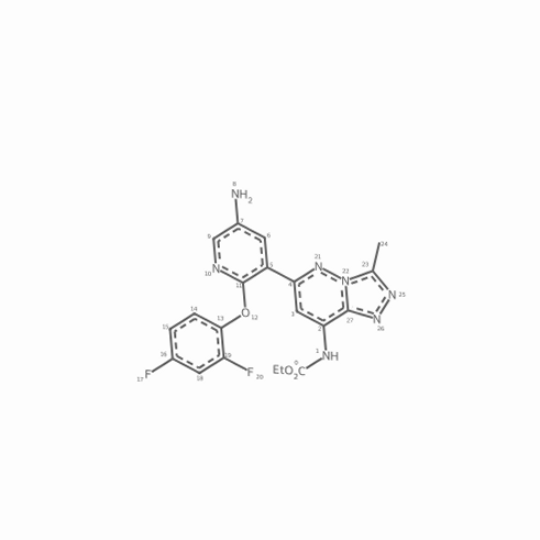 CCOC(=O)Nc1cc(-c2cc(N)cnc2Oc2ccc(F)cc2F)nn2c(C)nnc12